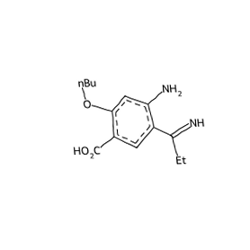 CCCCOc1cc(N)c(C(=N)CC)cc1C(=O)O